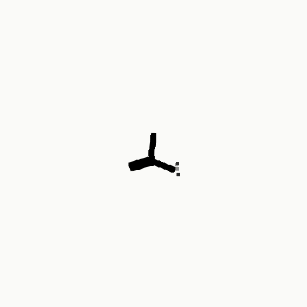 [C]C(=C)C